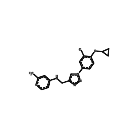 FC(F)(F)c1cc(NCc2cn(-c3ccc(OC4CC4)c(Cl)c3)nn2)ccn1